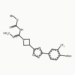 CCCCCCCCCc1ccc(-c2noc(C3CN(/C(=N/C(=O)O)NC(=O)OC(C)(C)C)C3)n2)cc1C(F)(F)F